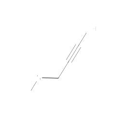 CC#CC[N]CC